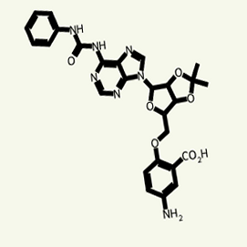 CC1(C)OC2C(COc3ccc(N)cc3C(=O)O)OC(n3cnc4c(NC(=O)Nc5ccccc5)ncnc43)C2O1